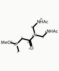 COP(C)CC(=O)N(CNC(C)=O)CNC(C)=O